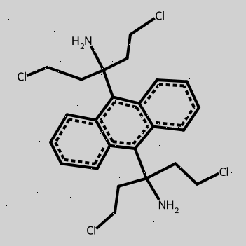 NC(CCCl)(CCCl)c1c2ccccc2c(C(N)(CCCl)CCCl)c2ccccc12